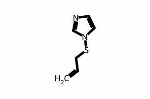 C=CCSn1ccnc1